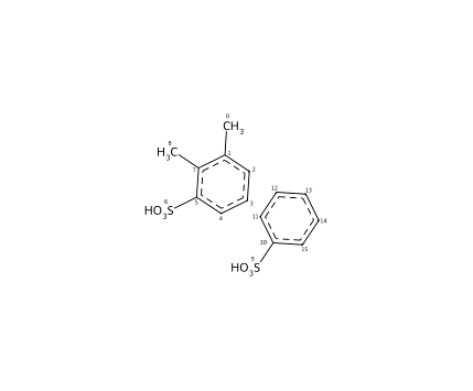 Cc1cccc(S(=O)(=O)O)c1C.O=S(=O)(O)c1ccccc1